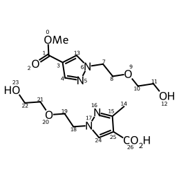 COC(=O)c1cnn(CCOCCO)c1.Cc1nn(CCOCCO)cc1C(=O)O